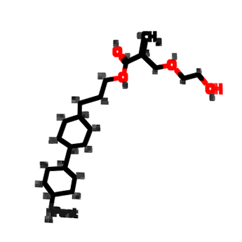 C=C(COCCO)C(=O)OCCCC1CCC(C2CCC(CCCCC)CC2)CC1